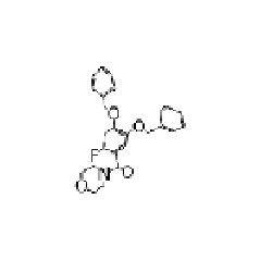 O=C(c1cc(OCc2ccccc2)c(OCc2ccccc2)cc1F)N1CCOCC1